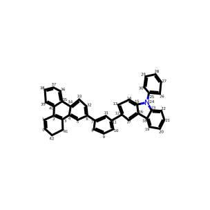 C1=Cc2c(c3cc(-c4cccc(-c5ccc6c(c5)c5ccccc5n6-c5ccccc5)c4)ccc3c3ccccc23)CC1